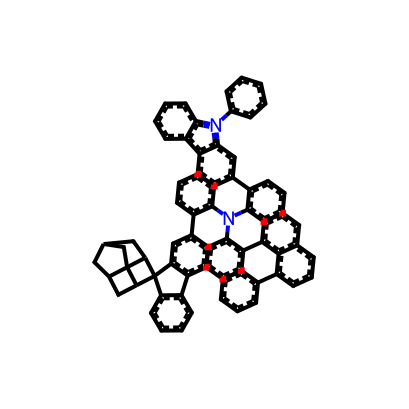 c1ccc(-c2cccc3cccc(-c4ccccc4N(c4ccccc4-c4ccc5c(c4)C4(c6ccccc6-5)C5CC6CC7CC4C75C6)c4ccccc4-c4ccc5c6ccccc6n(-c6ccccc6)c5c4)c23)cc1